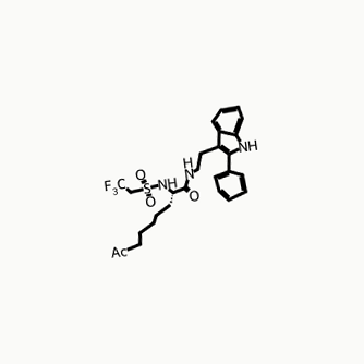 CC(=O)CCCCC[C@H](NS(=O)(=O)CC(F)(F)F)C(=O)NCCc1c(-c2ccccc2)[nH]c2ccccc12